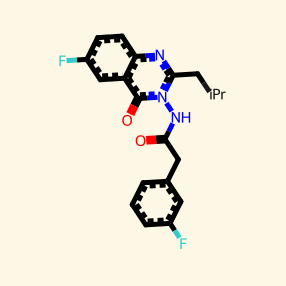 CC(C)Cc1nc2ccc(F)cc2c(=O)n1NC(=O)Cc1cccc(F)c1